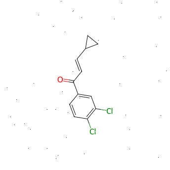 O=C(/C=C/C1CC1)c1ccc(Cl)c(Cl)c1